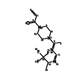 C=CC(=O)N1CCN(/C(C)=N/C=N\C(C)C(F)(F)F)CC1